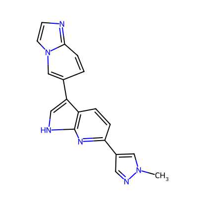 Cn1cc(-c2ccc3c(-c4ccc5nccn5c4)c[nH]c3n2)cn1